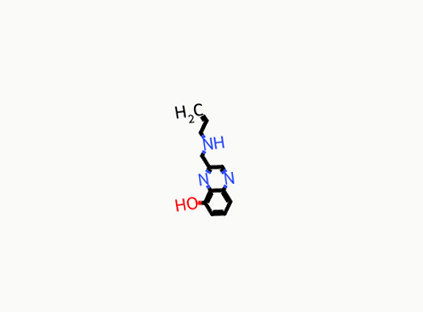 C=CCNCc1cnc2cccc(O)c2n1